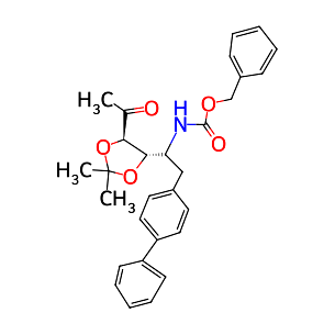 CC(=O)[C@@H]1OC(C)(C)O[C@H]1C(Cc1ccc(-c2ccccc2)cc1)NC(=O)OCc1ccccc1